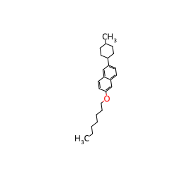 CCCCCCCOc1ccc2cc(C3CCC(C)CC3)ccc2c1